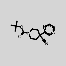 CC(C)(C)OC(=O)N1CCC(C#N)(c2cnccn2)CC1